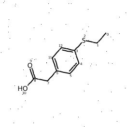 CCSc1ccc(CC(=O)O)cc1